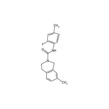 Cc1ccc(NC(=O)N2CCc3ccc(C)cc3C2)c(F)c1